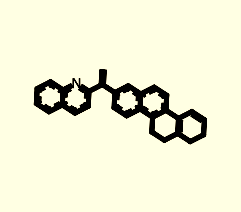 C=C(c1ccc2c3c(ccc2c1)C1=C(CCC=C1)CC3)c1ccc2ccccc2n1